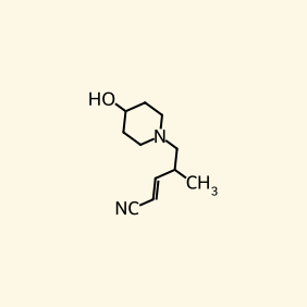 CC(C=CC#N)CN1CCC(O)CC1